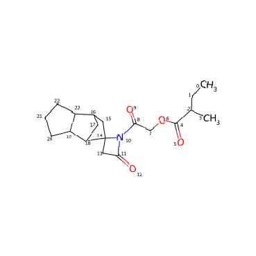 CCC(C)C(=O)OCC(=O)N1C(=O)CC12CC1CC2C2CCCC12